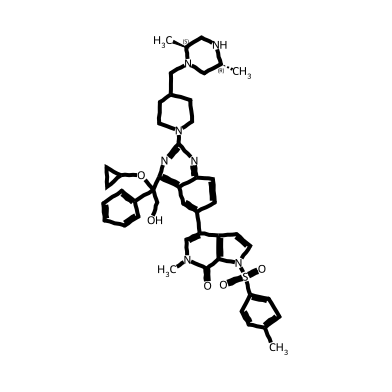 Cc1ccc(S(=O)(=O)n2ccc3c(-c4ccc5nc(N6CCC(CN7C[C@@H](C)NC[C@@H]7C)CC6)nc(C(CO)(OC6CC6)c6ccccc6)c5c4)cn(C)c(=O)c32)cc1